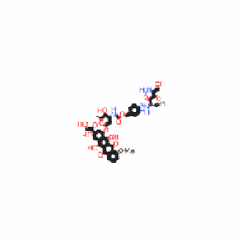 COc1cccc2c1C(=O)c1c(O)c3c(c(O)c1C2=O)C[C@@](O)(C(=O)CO)CC3O[C@H]1CC(NC(=O)OCc2ccc(NN[C@@H](CC(C)C)C(=O)C(=O)[C@@H](N)CO)cc2)[C@H](O)[C@H](C)O1